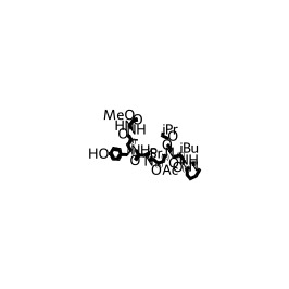 CCC(C)[C@H](NC(=O)[C@H]1CCCCN1C)C(=O)N(COC(=O)CC(C)C)[C@H](C[C@@H](OC(C)=O)c1nc(C(=O)N[C@@H](Cc2ccc(O)cc2)C[C@H](C)C(=O)NNC(=O)OC)cs1)C(C)C